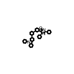 c1ccc(-c2nc(-c3ccccc3)c3c(n2)oc2ccc(-c4cccc(-c5ccc6c7ccccc7n(-c7ccccc7)c6c5)c4)cc23)cc1